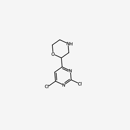 Clc1cc(C2CNCCO2)nc(Cl)n1